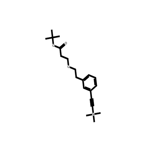 CC(C)(C)OC(=O)CCOCCc1cccc(C#C[Si](C)(C)C)c1